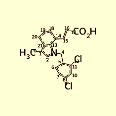 Cc1cn(Cc2ccc(Cl)cc2Cl)c2c(/C=C/C(=O)O)cccc12